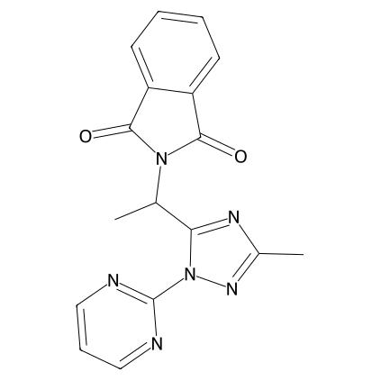 Cc1nc(C(C)N2C(=O)c3ccccc3C2=O)n(-c2ncccn2)n1